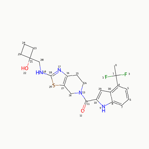 CC(F)(F)c1cccc2[nH]c(C(=O)N3CCc4nc(NCC5(O)CCC5)sc4C3)cc12